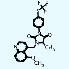 COc1cccc2nccc(CN3C(=O)N(c4ccc(SC(F)(F)F)cc4)C(=O)C3C)c12